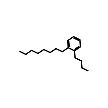 CCCCCCCCc1ccccc1CCCC